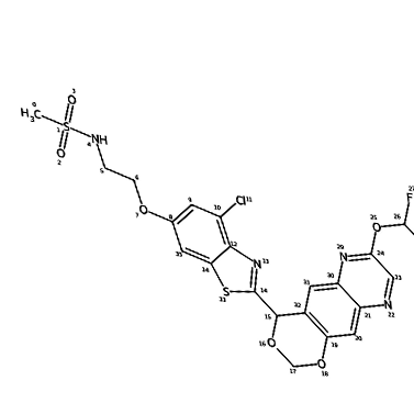 CS(=O)(=O)NCCOc1cc(Cl)c2nc(C3OCOc4cc5ncc(OC(F)F)nc5cc43)sc2c1